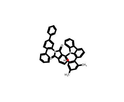 Cc1cc(C)c(-c2cccc3c4ccccc4n(-c4cccc5c4C(=O)N(c4cc(-c6ccccc6)ccc4-c4ccccc4)C5=O)c23)c(C)c1